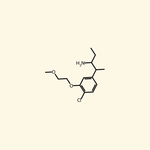 CCC(N)C(C)c1ccc(Cl)c(OCCOC)c1